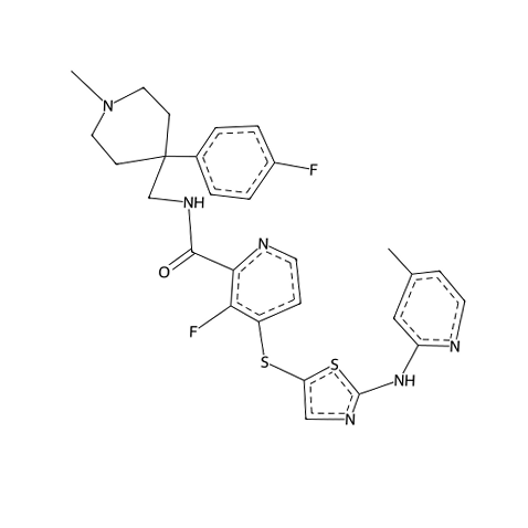 Cc1ccnc(Nc2ncc(Sc3ccnc(C(=O)NCC4(c5ccc(F)cc5)CCN(C)CC4)c3F)s2)c1